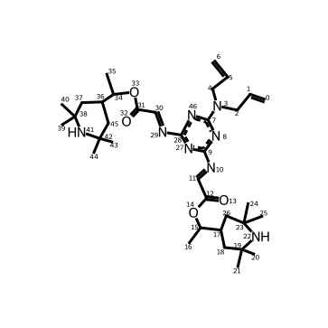 C=CCN(CC=C)c1nc(/N=C/C(=O)OC(C)C2CC(C)(C)NC(C)(C)C2)nc(/N=C/C(=O)OC(C)C2CC(C)(C)NC(C)(C)C2)n1